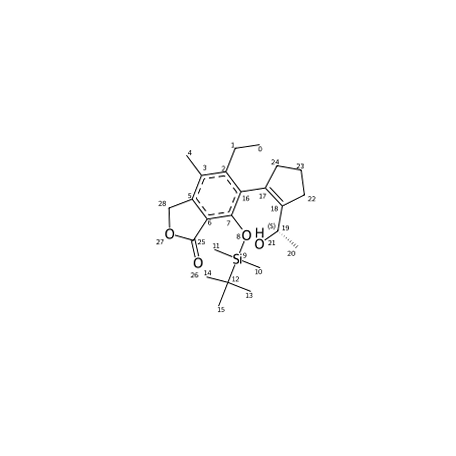 CCc1c(C)c2c(c(O[Si](C)(C)C(C)(C)C)c1C1=C([C@H](C)O)CCC1)C(=O)OC2